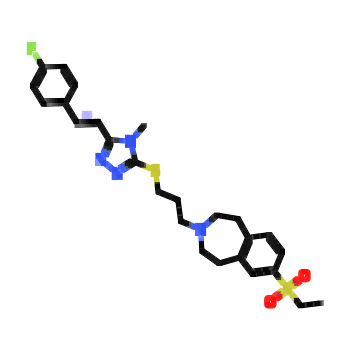 CCS(=O)(=O)c1ccc2c(c1)CCN(CCCSc1nnc(/C=C/c3ccc(F)cc3)n1C)CC2